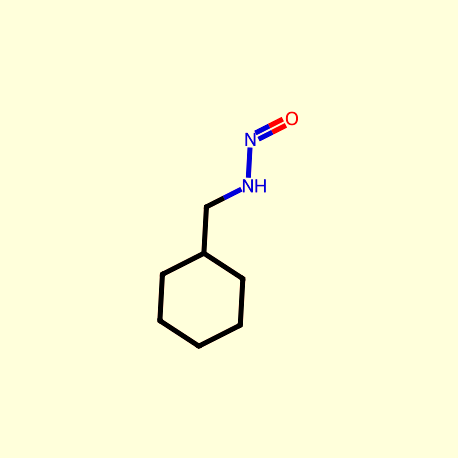 O=NNCC1CCCCC1